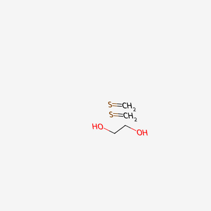 C=S.C=S.OCCO